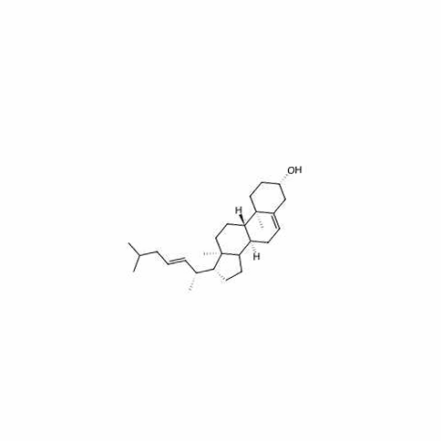 CC(C)C/C=C/[C@@H](C)[C@H]1CCC2[C@@H]3CC=C4C[C@@H](O)CC[C@]4(C)[C@H]3CC[C@@]21C